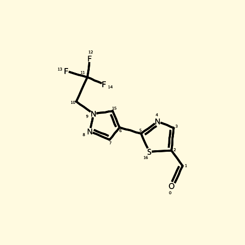 O=Cc1cnc(-c2cnn(CC(F)(F)F)c2)s1